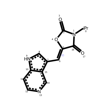 CC(C)N1C(=O)O/C(=C\c2c[nH]c3ccncc23)C1=O